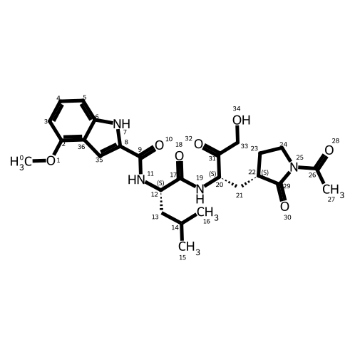 COc1cccc2[nH]c(C(=O)N[C@@H](CC(C)C)C(=O)N[C@@H](C[C@@H]3CCN(C(C)=O)C3=O)C(=O)CO)cc12